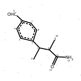 CC(c1ccc(C=O)cc1)C(I)C(N)=O